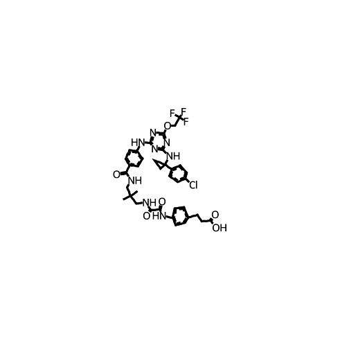 CC(C)(CNC(=O)C(=O)Nc1ccc(CCC(=O)O)cc1)CNC(=O)c1ccc(Nc2nc(NC3(c4ccc(Cl)cc4)CC3)nc(OCC(F)(F)F)n2)cc1